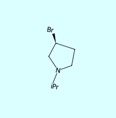 CC(C)N1CC[C@H](Br)C1